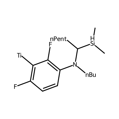 CCCCCC(N(CCCC)c1ccc(F)[c]([Ti])c1F)[SiH](C)C